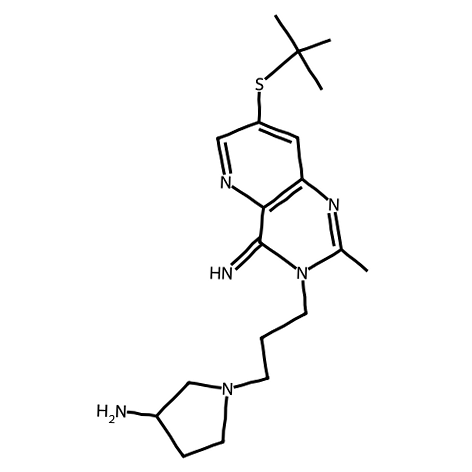 Cc1nc2cc(SC(C)(C)C)cnc2c(=N)n1CCCN1CCC(N)C1